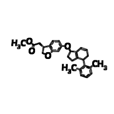 COC(=O)C[C@@H]1COc2cc(O[C@@H]3CCC4=C3C=CCC4c3c(C)cccc3C)ccc21